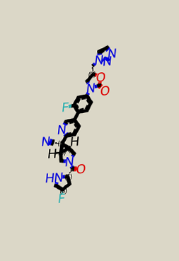 N#C[C@]1(c2ccc(-c3ccc(N4C[C@H](Cn5ccnn5)OC4=O)cc3F)cn2)[C@@H]2CN(C(=O)[C@@H]3C[C@H](F)CN3)C[C@@H]21